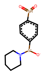 O=[SH](=O)c1ccc([S+]([O-])N2CCCCC2)cc1